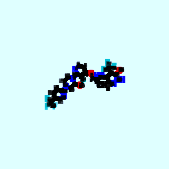 C[C@@H](COc1ccnc(N2CCN(c3ccc(C(F)(F)F)cn3)CC2=O)c1F)Nc1cn[nH]c(=O)c1C(F)(F)F